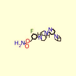 NC(=O)OCc1cc(F)cc(N2CCC[C@H]3[C@@H]2CCN3c2cc(N3CC4CC(C4)C3)ccn2)c1